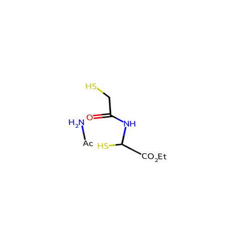 CC(N)=O.CCOC(=O)C(S)NC(=O)CS